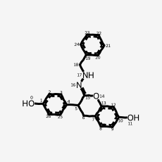 Oc1ccc(C2Cc3ccc(O)cc3OC2=NNCc2ccccc2)cc1